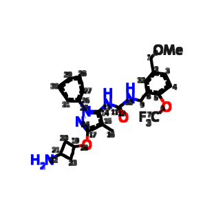 COCc1ccc(OC(F)(F)F)c(CNC(=O)Nc2c(C)c(OC3CC(N)C3)nn2-c2ccccc2)c1